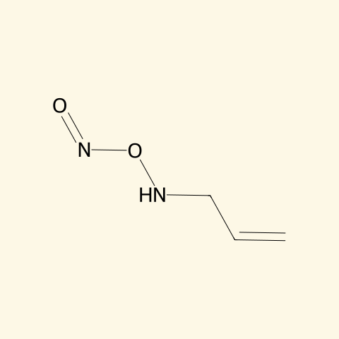 C=CCNON=O